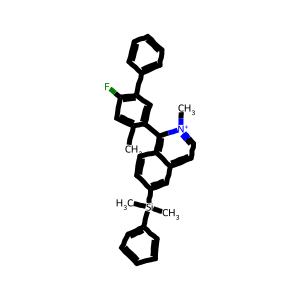 Cc1cc(F)c(-c2ccccc2)cc1-c1c2ccc([Si](C)(C)c3ccccc3)cc2cc[n+]1C